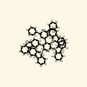 c1ccc(-c2cc(-c3c(-c4ccc5oc6ccccc6c5c4)c(-n4c5ccccc5c5ccccc54)nc(-n4c5ccccc5c5ccccc54)c3-n3c4ccccc4c4ccccc43)cc(-c3ccccc3)n2)cc1